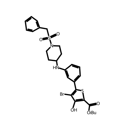 CC(C)COC(=O)c1sc(-c2cccc(NC3CCN(S(=O)(=O)Cc4ccccc4)CC3)c2)c(Br)c1O